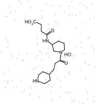 Cl.O=C(O)CCC(=O)NC1CCCN(C(=O)CCC2CCNCC2)C1